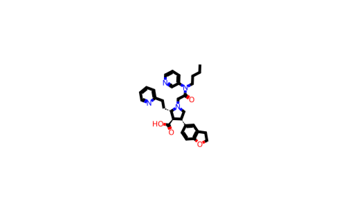 CCCCN(C(=O)CN1C[C@H](c2ccc3c(c2)CCO3)[C@@H](C(=O)O)[C@@H]1CCc1ccccn1)c1cccnc1